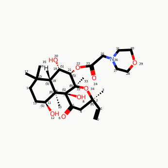 C=C[C@@]1(C)CC(=O)[C@]2(O)[C@@]3(C)[C@@H](O)CCC(C)(C)[C@@H]3[C@H](O)[C@H](OC(=O)CN3CCOCC3)[C@@]2(C)O1